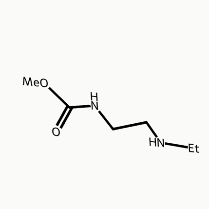 CCNCCNC(=O)OC